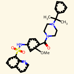 COc1cc(NS(=O)(=O)c2cccc3cccnc23)ccc1C(=O)N1CCN(C(C)(C)c2ccccc2)CC1